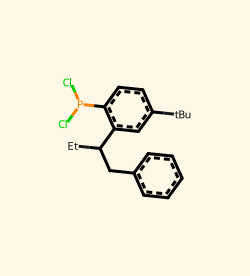 CCC(Cc1ccccc1)c1cc(C(C)(C)C)ccc1P(Cl)Cl